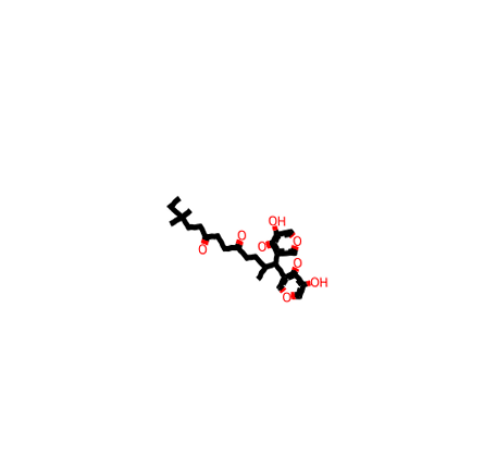 CCC(C)(C)CCC(=O)CCC(=O)CCC(C)C(c1cocc(O)c1=O)c1cocc(O)c1=O